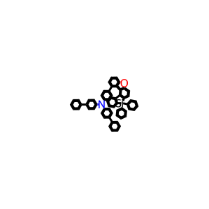 c1ccc(-c2ccc(N(c3ccc(-c4ccccc4)cc3)c3ccc(-c4cccc5oc6ccc7c(c6c45)-c4ccccc4[Si]7(c4ccccc4)c4ccccc4)cc3)cc2)cc1